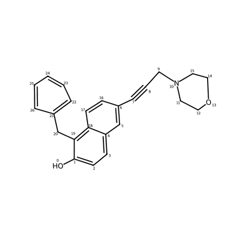 Oc1ccc2cc(C#CCN3CCOCC3)ccc2c1Cc1ccccc1